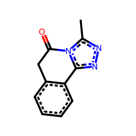 Cc1nnc2n1C(=O)Cc1ccccc1-2